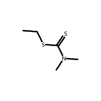 CCSC(=S)N(C)C